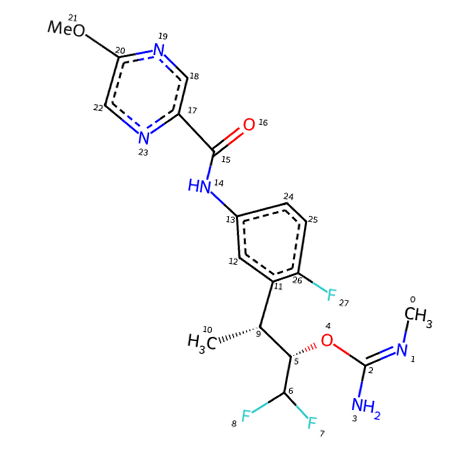 C/N=C(/N)O[C@H](C(F)F)[C@H](C)c1cc(NC(=O)c2cnc(OC)cn2)ccc1F